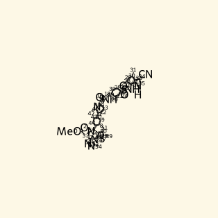 COC(=O)C[C@@H]1N=C(c2ccc(-c3ccc(C(=O)NCc4ccc(S(=O)(=O)Nc5ccc(C)c6c(C#N)c[nH]c56)cc4)nc3C)cc2)c2c(sc(C)c2C)-n2c(C)nnc21